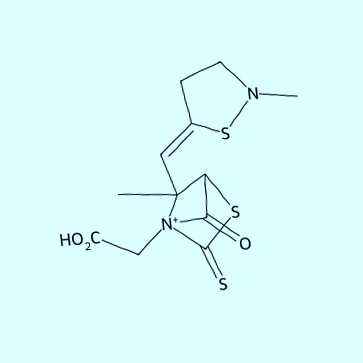 CN1CCC(=CC2(C)C3SC(=S)[N+]2(CC(=O)O)C3=O)S1